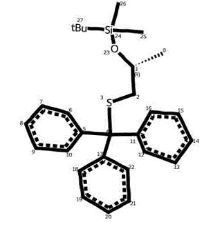 C[C@H](CSC(c1ccccc1)(c1ccccc1)c1ccccc1)O[Si](C)(C)C(C)(C)C